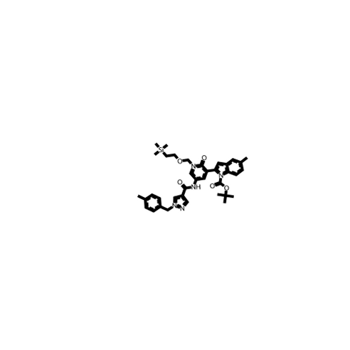 Cc1ccc(Cn2cc(C(=O)Nc3cc(-c4cc5cc(C)ccc5n4C(=O)OC(C)(C)C)c(=O)n(COCC[Si](C)(C)C)c3)cn2)cc1